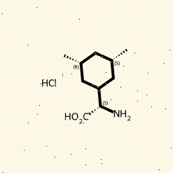 C[C@@H]1CC([C@H](N)C(=O)O)C[C@H](C)C1.Cl